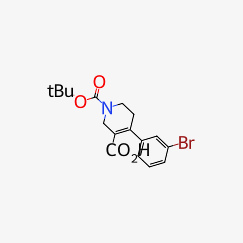 CC(C)(C)OC(=O)N1CCC(c2cccc(Br)c2)=C(C(=O)O)C1